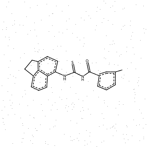 Cc1cccc(C(=O)NC(=S)Nc2ccc3c4c(cccc24)CC3)c1